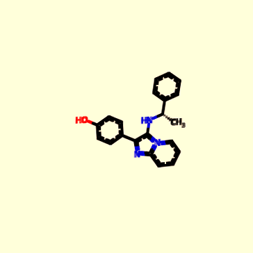 C[C@H](Nc1c(-c2ccc(O)cc2)nc2ccccn12)c1ccccc1